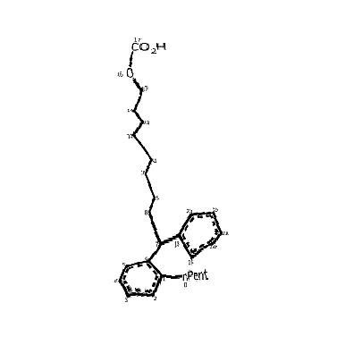 CCCCCc1ccccc1C(CCCCCCCCOC(=O)O)c1ccccc1